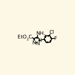 CCOC(=O)c1nnn(-c2ccc(F)c(Cl)c2)c1N